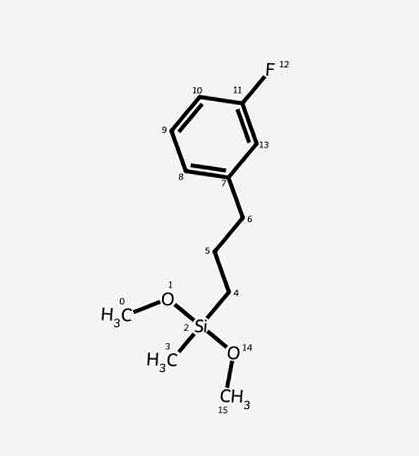 CO[Si](C)(CCCc1cccc(F)c1)OC